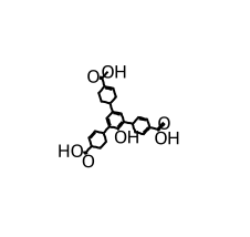 O=C(O)C1=CCC(c2cc(C3CC=C(C(=O)O)CC3)cc(C3C=CC(C(=O)O)CC3)c2O)C=C1